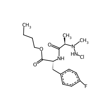 CCCCOC(=O)[C@@H](Cc1ccc(F)cc1)NC(=O)[C@@H](C)N(C)NCl